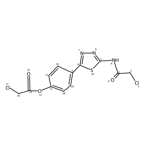 O=C(CCl)Nc1nnc(-c2ccc(OC(=O)CCl)cc2)s1